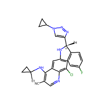 [2H][C@](Nc1cc(Cl)c2ncc(C#N)c(NC3(CC)CC3)c2c1)(c1ccc(F)cc1)c1cn(C2CC2)nn1